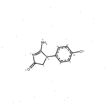 NC1=NC(=O)CN1c1ccc(Cl)cc1